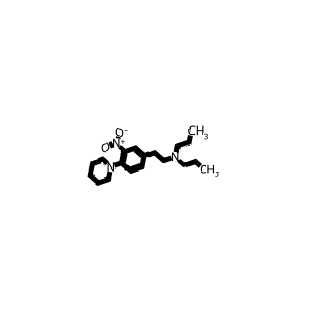 CCCN(CCC)CCc1ccc(N2CCCCC2)c([N+](=O)[O-])c1